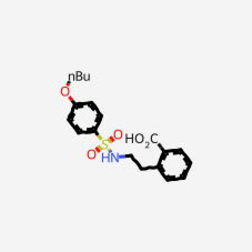 CCCCOc1ccc(S(=O)(=O)NCCc2ccccc2C(=O)O)cc1